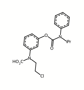 CC(C)N(C(=O)Oc1cccc(N(CCCl)C(=O)O)c1)c1ccccc1